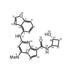 CNc1cc(Nc2cccc3ocnc23)nc2c(C(=O)NC3CC[C@H]3O)ccn12